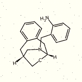 Nc1ccccc1CN1C[C@@H]2CC[C@H]1Cc1ccccc1C2